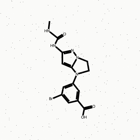 CNC(=O)Nc1cc2n(n1)CCN2c1cc(Br)cc(C(=O)O)c1